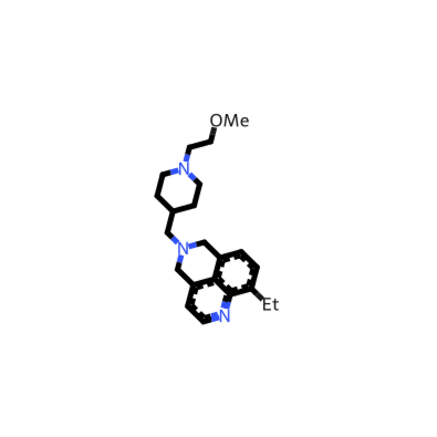 CCc1ccc2c3c(ccnc13)CN(CC1CCN(CCOC)CC1)C2